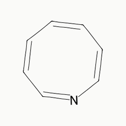 C1=CC=CN=CC=C1